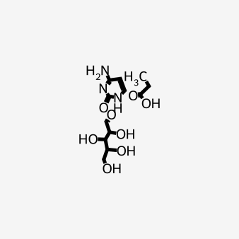 CCC(=O)O.Nc1cc[nH]c(=O)n1.O=CC(O)C(O)C(O)CO